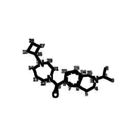 CC(C)N1CCc2cc(C(=O)N3CCCN(C4CCC4)CC3)ccc2C1